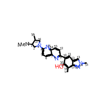 CNC1CN(c2ccc3nc(-c4cc5cn(C)nc5c(C)c4O)ccc3n2)CC1C